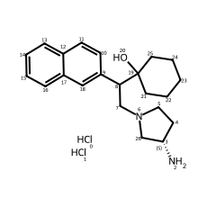 Cl.Cl.N[C@H]1CCN(CC(c2ccc3ccccc3c2)C2(O)CCCCC2)C1